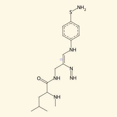 CNC(CC(C)C)C(=O)NC/C(=C/Nc1ccc(SN)cc1)N=N